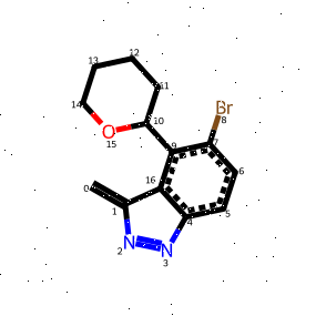 C=C1N=Nc2ccc(Br)c(C3CCCCO3)c21